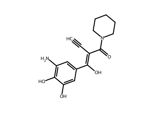 C#C/C(C(=O)N1CCCCC1)=C(/O)c1cc(N)c(O)c(O)c1